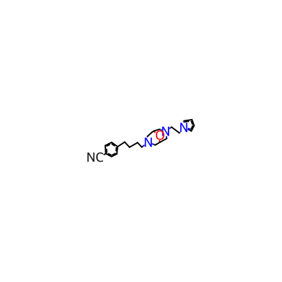 N#Cc1ccc(CCCCN2CC3CN(CCn4cccc4)CC(C2)O3)cc1